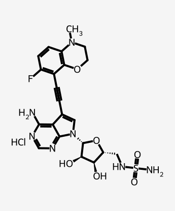 CN1CCOc2c1ccc(F)c2C#Cc1cn([C@@H]2O[C@H](CNS(N)(=O)=O)[C@@H](O)[C@H]2O)c2ncnc(N)c12.Cl